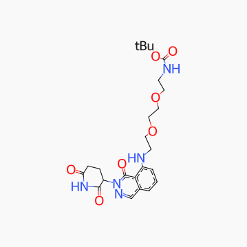 CC(C)(C)OC(=O)NCCOCCOCCNc1cccc2cnn(C3CCC(=O)NC3=O)c(=O)c12